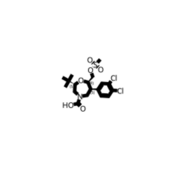 CC(C)(C)[C@H]1CN(C(=O)O)C[C@H](c2ccc(Cl)c(Cl)c2)[C@H](COS(C)(=O)=O)O1